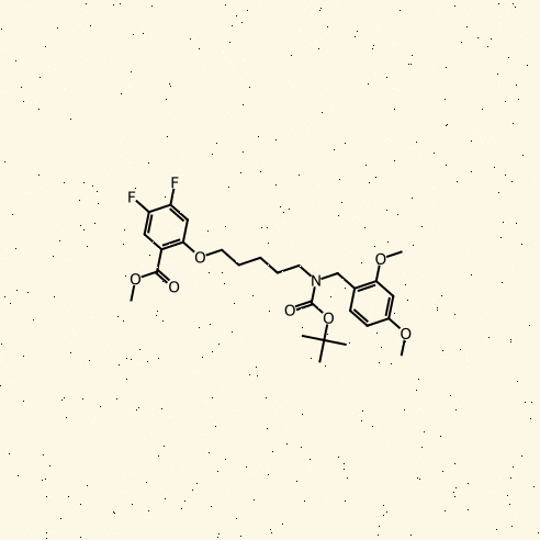 COC(=O)c1cc(F)c(F)cc1OCCCCCN(Cc1ccc(OC)cc1OC)C(=O)OC(C)(C)C